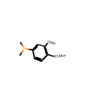 COc1ccc(P(C)C)cc1OC